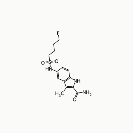 Cc1c(C(N)=O)[nH]c2ccc(NS(=O)(=O)CCCCF)cc12